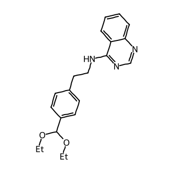 CCOC(OCC)c1ccc(CCNc2ncnc3ccccc23)cc1